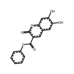 O=C(Oc1ccccc1)c1cc2cc(O)c(O)cc2oc1=O